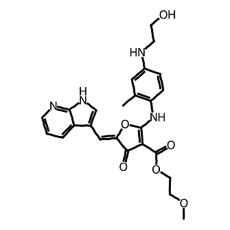 COCCOC(=O)C1=C(Nc2ccc(NCCO)cc2C)OC(=Cc2c[nH]c3ncccc23)C1=O